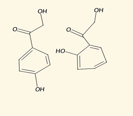 O=C(CO)c1ccc(O)cc1.O=C(CO)c1ccccc1O